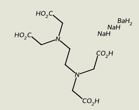 O=C(O)CN(CCN(CC(=O)O)CC(=O)O)CC(=O)O.[BaH2].[NaH].[NaH]